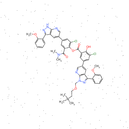 COc1ccccc1-c1n[nH]c2ncc(-c3cc(Cl)c(OC(=O)c4cc(-c5cnc6c(c5)c(-c5ccccc5OC)nn6COCC[Si](C)(C)C)cc(Cl)c4O)c(C(=O)N(C)C)c3)cc12